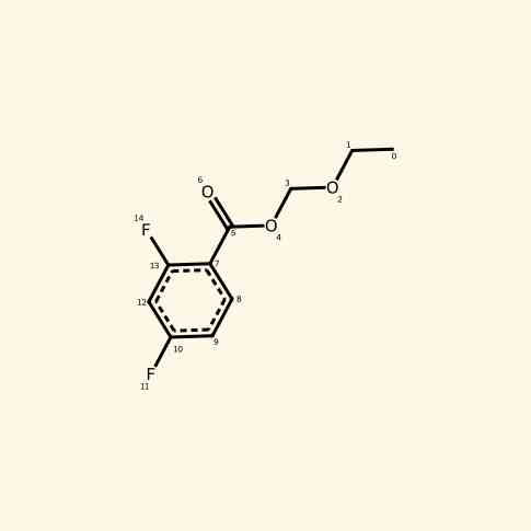 CCOCOC(=O)c1ccc(F)cc1F